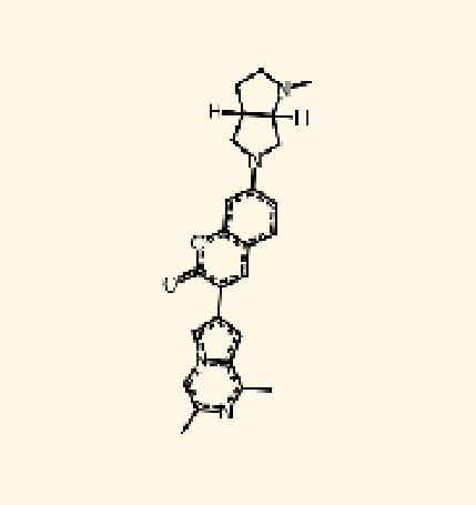 Cc1cn2cc(-c3cc4ccc(N5C[C@@H]6CCN(C)[C@@H]6C5)cc4oc3=O)cc2c(C)n1